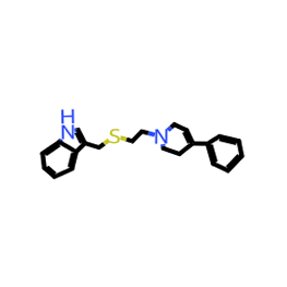 C1=C(c2ccccc2)CCN(CCSCc2c[nH]c3ccccc23)C1